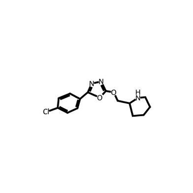 Clc1ccc(-c2nnc(OCC3CCCCN3)o2)cc1